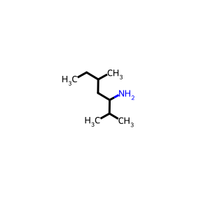 CCC(C)CC(N)C(C)C